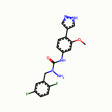 COc1cc(NC(=O)N(N)Cc2cc(F)ccc2F)ccc1-c1cn[nH]c1